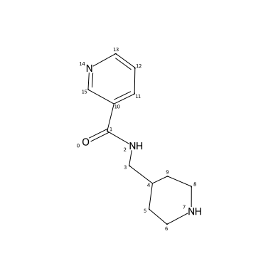 O=C(NCC1CCNCC1)c1cccnc1